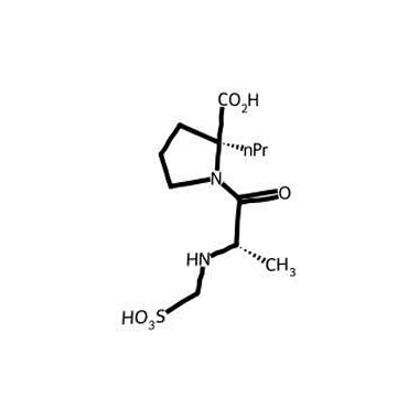 CCC[C@@]1(C(=O)O)CCCN1C(=O)[C@H](C)NCS(=O)(=O)O